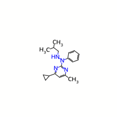 Cc1cc(C2CC2)nc(N(NCC(C)C)c2ccccc2)n1